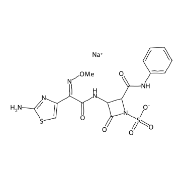 CON=C(C(=O)NC1C(=O)N(S(=O)(=O)[O-])C1C(=O)Nc1ccccc1)c1csc(N)n1.[Na+]